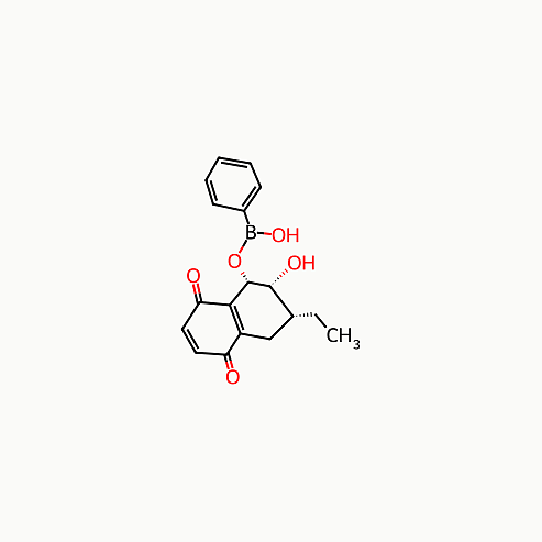 CC[C@@H]1CC2=C(C(=O)C=CC2=O)[C@H](OB(O)c2ccccc2)[C@@H]1O